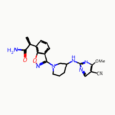 C=C(C(N)=O)c1cccc2c(N3CCCC(Nc4ncc(C#N)c(OC)n4)C3)noc12